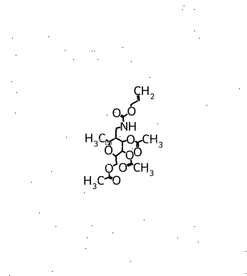 C=CCOC(=O)NCC1C(OC(C)=O)C(OC(C)=O)C(COC(C)=O)O[C@H]1C